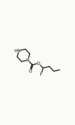 CCCC(F)OC(=O)N1CCNCC1